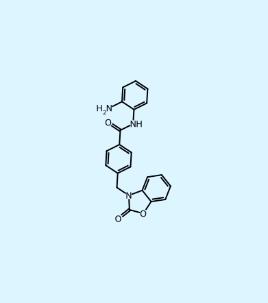 Nc1ccccc1NC(=O)c1ccc(Cn2c(=O)oc3ccccc32)cc1